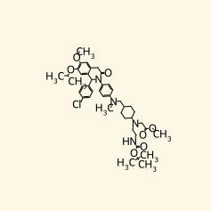 COC(=O)CN(CCNC(=O)OC(C)(C)C)C1CCC(CN(C)c2ccc(N3C(=O)Cc4cc(OC)c(OC(C)C)cc4C3c3ccc(Cl)cc3)cc2)CC1